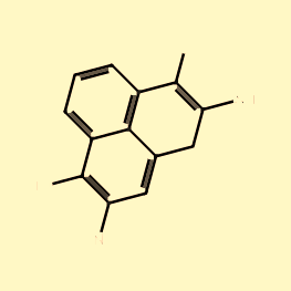 NC1=C(O)c2cccc3c(O)c(N)cc(c23)C1